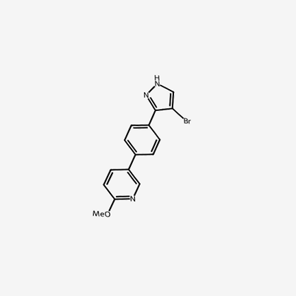 COc1ccc(-c2ccc(-c3n[nH]cc3Br)cc2)cn1